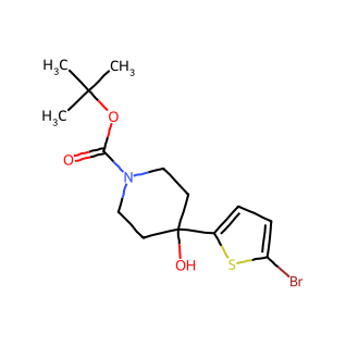 CC(C)(C)OC(=O)N1CCC(O)(c2ccc(Br)s2)CC1